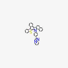 c1ccc2c(c1)ccc1c3c4ccccc4c4c5ccccc5sc4c3n(-c3ccc(-c4cn5ccccc5n4)cc3)c21